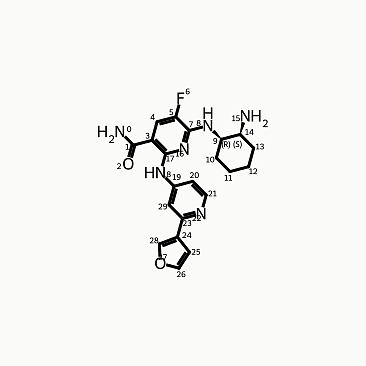 NC(=O)c1cc(F)c(N[C@@H]2CCCC[C@@H]2N)nc1Nc1ccnc(-c2ccoc2)c1